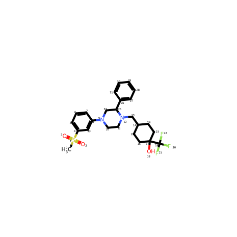 CS(=O)(=O)c1cccc(N2CCN(CC3CCC(O)(C(F)(F)F)CC3)C(c3ccccc3)C2)c1